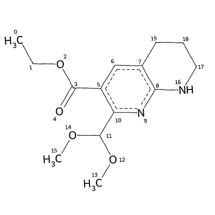 CCOC(=O)c1cc2c(nc1C(OC)OC)NCCC2